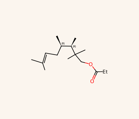 CCC(=O)OCC(C)(C)[C@H](C)[C@H](C)CC=C(C)C